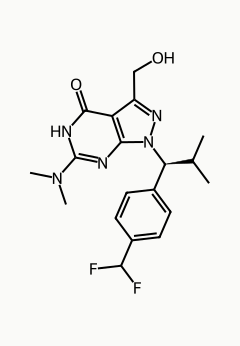 CC(C)[C@@H](c1ccc(C(F)F)cc1)n1nc(CO)c2c(=O)[nH]c(N(C)C)nc21